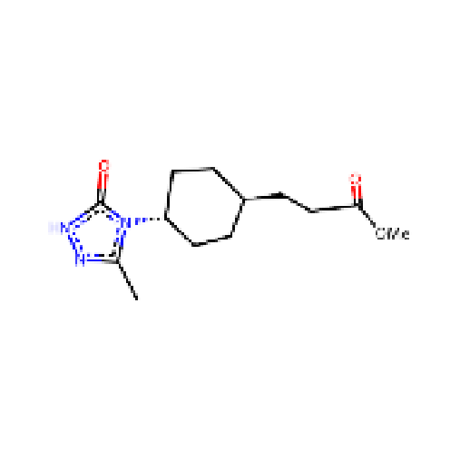 COC(=O)CC[C@H]1CC[C@H](n2c(C)n[nH]c2=O)CC1